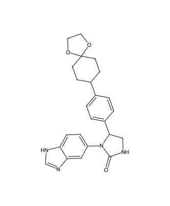 O=C1NCC(c2ccc(C3CCC4(CC3)OCCO4)cc2)N1c1ccc2[nH]cnc2c1